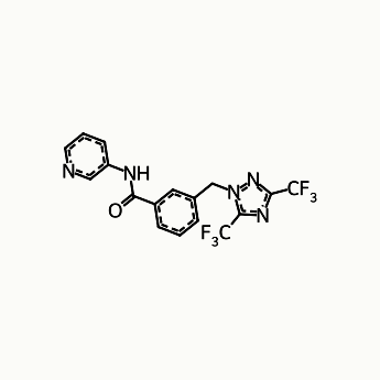 O=C(Nc1cccnc1)c1cccc(Cn2nc(C(F)(F)F)nc2C(F)(F)F)c1